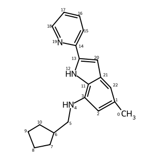 Cc1cc(NCC2CCCC2)c2[nH]c(-c3ccccn3)cc2c1